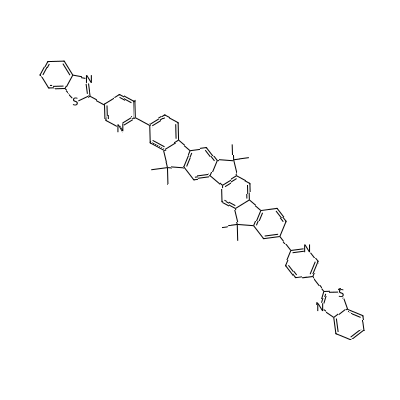 CC1(C)c2cc(-c3ccc(-c4nc5ccccc5s4)cn3)ccc2-c2cc3c(cc21)-c1cc2c(cc1C3(C)C)-c1ccc(-c3ccc(-c4nc5ccccc5s4)cn3)cc1C2(C)C